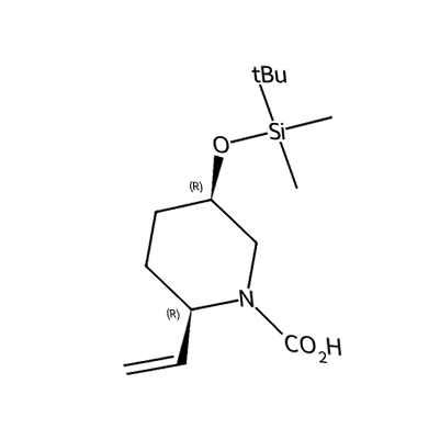 C=C[C@H]1CC[C@@H](O[Si](C)(C)C(C)(C)C)CN1C(=O)O